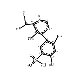 O=S(=O)(Cl)c1cc(-c2ncnc(C(F)F)c2Cl)c(F)cc1Cl